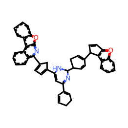 C1=CC(C2=NC(C3C=CC(C4C=Cc5oc6ccccc6c54)=CC3)NC(C3=CC=C(c4nc5oc6ccccc6c5c5ccccc45)C3)=C2)=CCC1